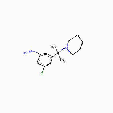 CC(C)(c1cc(N)cc(Cl)c1)N1CCCCC1